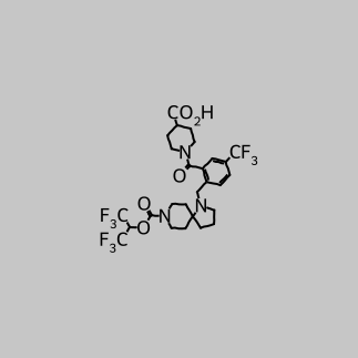 O=C(O)C1CCN(C(=O)c2cc(C(F)(F)F)ccc2CN2CCCC23CCN(C(=O)OC(C(F)(F)F)C(F)(F)F)CC3)CC1